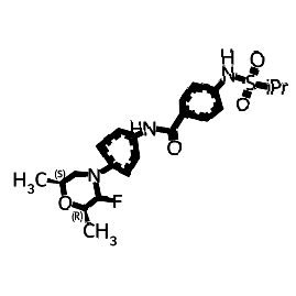 CC(C)S(=O)(=O)Nc1ccc(C(=O)Nc2ccc(N3C[C@H](C)O[C@H](C)C3F)cc2)cc1